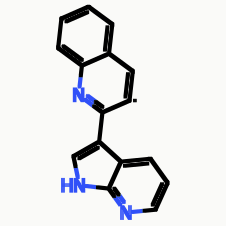 [c]1cc2ccccc2nc1-c1c[nH]c2ncccc12